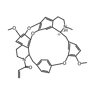 C=CC(=O)N1CCc2cc(OC)c3c4c2C1Cc1ccc(cc1)Oc1cc(ccc1OC)C[C@H]1c2cc(c(cc2CCN1C)O3)O4